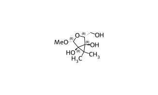 CO[C@@H]1O[C@H](CO)[C@]2(O)C(C)(C)[C@]12O